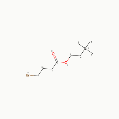 C[Si](C)(C)CCOC(=O)CCCBr